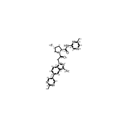 CC(=O)c1nn(CC(=O)N2C[C@H](F)C[C@H]2C(=O)Nc2cncc(C)n2)c2ccc(-c3cnc(C)nc3)cc12